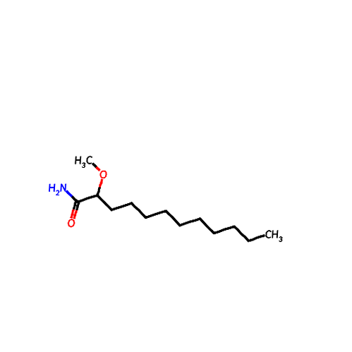 CCCCCCCCCCC(OC)C(N)=O